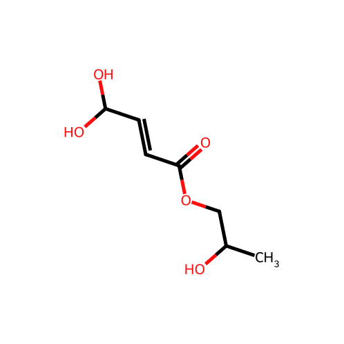 CC(O)COC(=O)C=CC(O)O